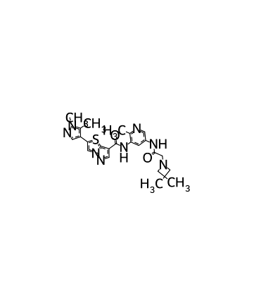 Cc1ncc(NC(=O)CN2CC(C)(C)C2)cc1NC(=O)c1cnn2cc(-c3cnn(C)c3C)sc12